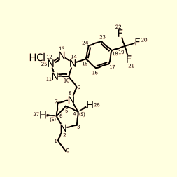 CCN1C[C@@H]2C[C@H]1CN2Cc1nnnn1-c1ccc(C(F)(F)F)cc1.Cl